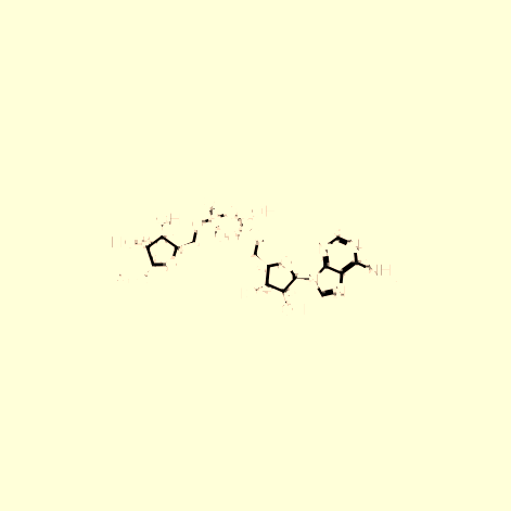 CC(=O)O[C@H]1O[C@H](COP(=O)(O)OP(=O)(O)OC[C@H]2O[C@@H](n3cnc4c(N)ncnc43)[C@H](O)[C@@H]2O)[C@@H](O)[C@H]1O